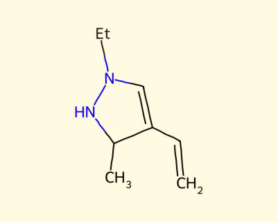 C=CC1=CN(CC)NC1C